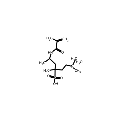 C=C(C)C(=O)NC(C)CC(C)(CCN(C)C)S(=O)(=O)O.O